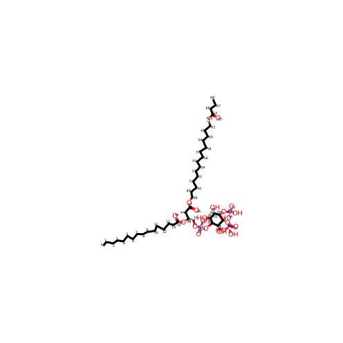 CCCCCCCCCCCCCCCC(=O)O[C@@H](COP(=O)(O)OC1C(O)[C@H](O)C(OP(=O)(O)O)[C@H](OP(=O)(O)O)[C@@H]1O)CC(=O)OCCCCCCCCCCCCCCCSC(=O)CCC